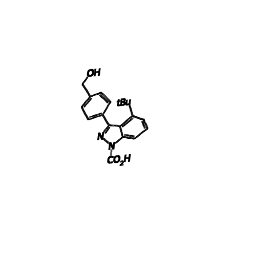 CC(C)(C)c1cccc2c1c(-c1ccc(CO)cc1)nn2C(=O)O